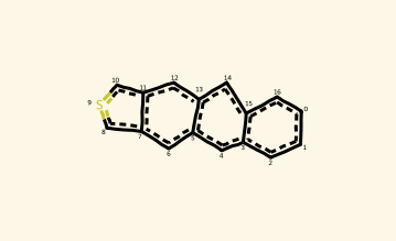 c1ccc2cc3cc4cscc4cc3cc2c1